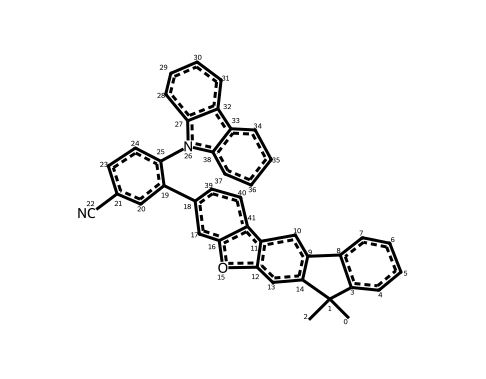 CC1(C)c2ccccc2-c2cc3c(cc21)oc1cc(-c2cc(C#N)ccc2-n2c4ccccc4c4ccccc42)ccc13